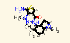 CNN(C)c1c(C(=O)Nc2c(C)ccc3c2ccn3C)csc1N